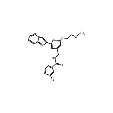 COCCOc1cc(CNC(=O)c2cccc(Br)c2)cc(-c2cn3ncccc3n2)c1